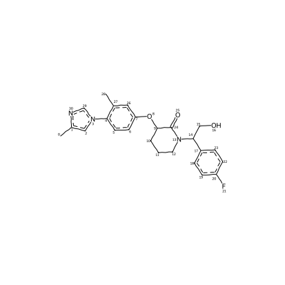 Cc1cn(-c2ccc(OC3CCCN(C(CO)c4ccc(F)cc4)C3=O)cc2C)cn1